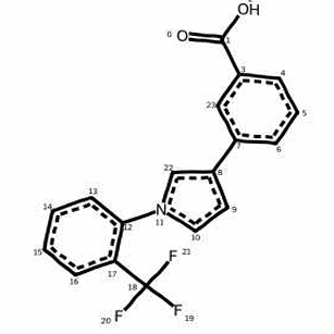 O=C(O)c1cccc(-c2ccn(-c3ccccc3C(F)(F)F)c2)c1